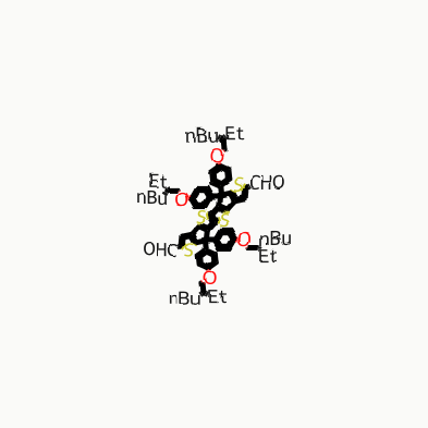 CCCCC(CC)COc1ccc(C2(c3ccc(OCC(CC)CCCC)cc3)c3sc(C=O)cc3-c3sc4c5c(sc4c32)-c2cc(C=O)sc2C5(c2ccc(OCC(CC)CCCC)cc2)c2ccc(OCC(CC)CCCC)cc2)cc1